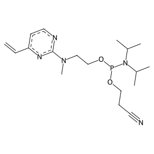 C=Cc1ccnc(N(C)CCOP(OCCC#N)N(C(C)C)C(C)C)n1